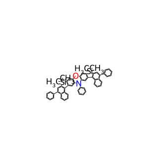 C[Si]1(C)c2cc3c(cc2-c2c1cc(-c1ccccc1)c1ccccc21)N(c1ccccc1)c1cc2c(cc1O3)[Si](C)(C)c1cc(-c3ccccc3)c3ccccc3c1-2